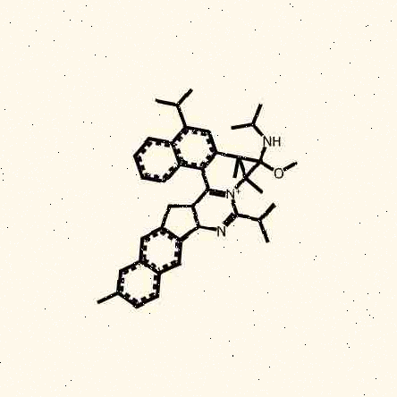 COC1(NC(C)C)C2(C)c3cc(C(C)C)c4ccccc4c3C3=[N+](C(C(C)C)=NC4c5cc6ccc(C)cc6cc5CC34)C12C